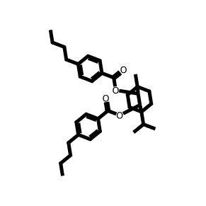 CCCCc1ccc(C(=O)OC2C(OC(=O)c3ccc(CCCC)cc3)C3(C(C)C)CCC2(C)CC3)cc1